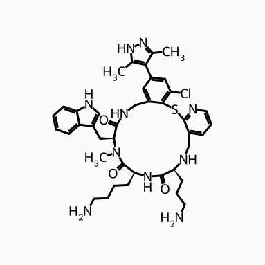 Cc1n[nH]c(C)c1-c1cc(Cl)c2c(c1)CNC(=O)[C@H](Cc1c[nH]c3ccccc13)N(C)C(=O)[C@H](CCCCN)NC(=O)[C@H](CCCN)NCc1cccnc1S2